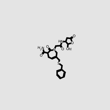 NC(=O)C1CC=C(CSCc2ccccc2)CN(CC(=O)NC2CC(=O)OC2O)C1=O